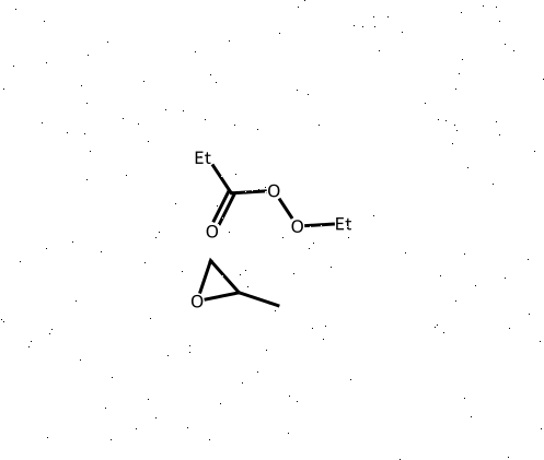 CC1CO1.CCOOC(=O)CC